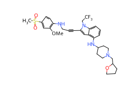 COc1cc(S(C)(=O)=O)ccc1NCC#Cc1cc2c(NC3CCN(CC4CCCO4)CC3)cccc2n1CC(F)(F)F